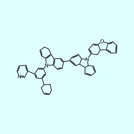 C1=CC2C3C=C(c4ccc5c(c4)c4c(n5-c5cc(-c6cccnc6)cc(C6CC=CCC6)c5)C=CCC4)C=CC3N(C3=CC=C4Oc5ccccc5C4C3)C2C=C1